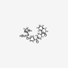 CCCCC(Oc1ccc(C(=O)N2CCC(N3C(=O)CCc4ccccc43)CC2)cc1)Sc1nccn1C